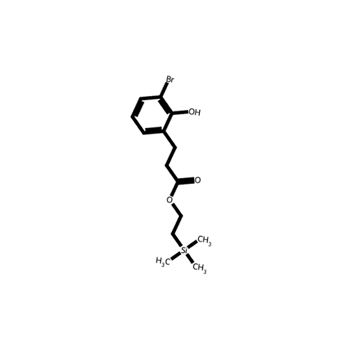 C[Si](C)(C)CCOC(=O)CCc1cccc(Br)c1O